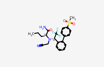 CCC[C@@H](C(N)=O)N(CC#N)[C@@H](c1ccccc1-c1ccc(S(C)(=O)=O)cc1)C(F)(F)F